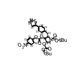 CC(C)(C)OC(=O)O[C@H]1CN(C(=O)OC(C)(C)C)[C@H](Cc2ccc(-c3cnns3)cc2)[C@@H]1OC(=O)Oc1ccc([N+](=O)[O-])cc1